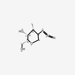 C[C@@H]1C(N=[N+]=[N-])CO[C@H](CO)[C@@H]1O